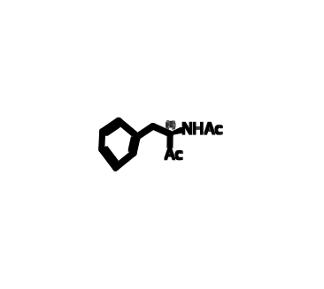 CC(=O)N[C@H](Cc1ccccc1)C(C)=O